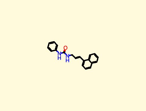 O=C(NCC=Cc1cccc2ccccc12)Nc1ccccc1